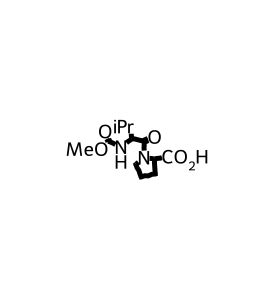 COC(=O)NC(C(=O)N1CCCC1C(=O)O)C(C)C